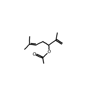 C=C(C)C(CC=C(C)C)OC(C)=O